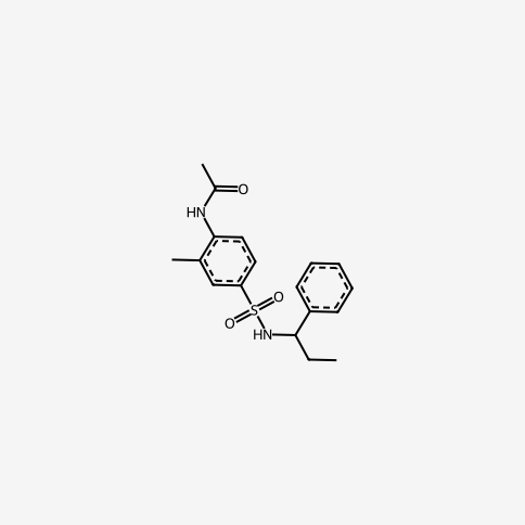 CCC(NS(=O)(=O)c1ccc(NC(C)=O)c(C)c1)c1ccccc1